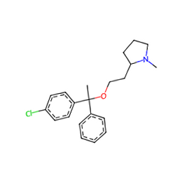 CN1CCCC1CCOC(C)(c1ccccc1)c1ccc(Cl)cc1